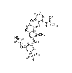 CC(=O)Nc1cc(Oc2cnc3nc(Nc4cc(OC5CNC5)cc(C(F)(F)F)c4)n(C)c3c2Cl)ccn1